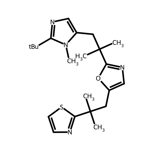 Cn1c(CC(C)(C)c2ncc(CC(C)(C)c3nccs3)o2)cnc1C(C)(C)C